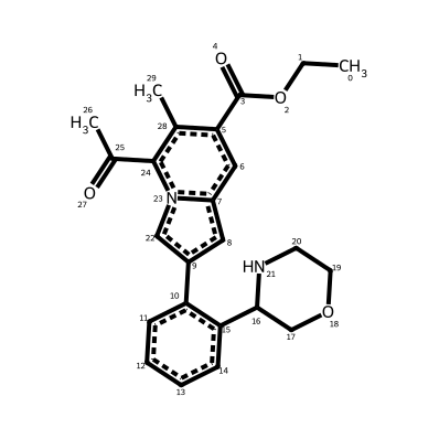 CCOC(=O)c1cc2cc(-c3ccccc3C3COCCN3)cn2c(C(C)=O)c1C